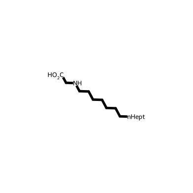 CCCCCCCCCCCCCCNCC(=O)O